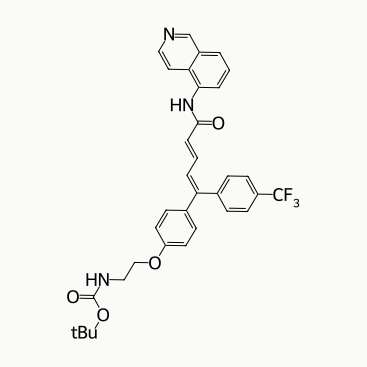 CC(C)(C)OC(=O)NCCOc1ccc(C(=CC=CC(=O)Nc2cccc3cnccc23)c2ccc(C(F)(F)F)cc2)cc1